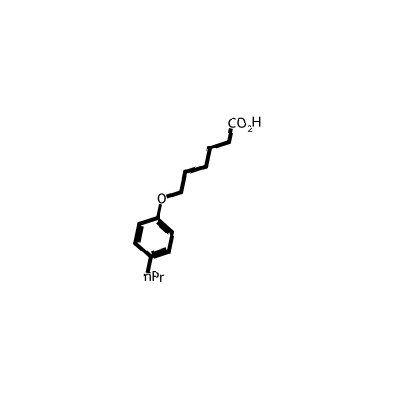 CCCc1ccc(OCCCCCC(=O)O)cc1